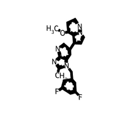 COc1ccnn2ccc(-c3cnc4nc(C)n(Cc5cc(F)cc(F)c5)c4c3)c12